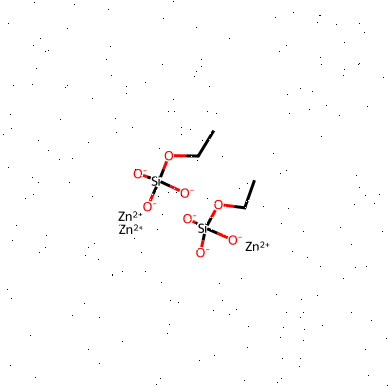 CCO[Si]([O-])([O-])[O-].CCO[Si]([O-])([O-])[O-].[Zn+2].[Zn+2].[Zn+2]